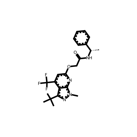 C[C@H](NC(=O)COc1cc(C(F)(F)F)c2c(C(C)(C)C)nn(C)c2n1)c1ccccc1